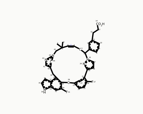 CC1(C)/C=C\CC(c2cccc(CCC(=O)O)c2)n2ccc(n2)-c2cc(ccc2F)Oc2c(F)cc3[nH]ccc3c2Cc2cnn(c2)C1